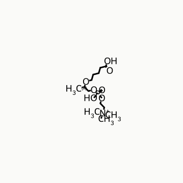 C[C@H](COP(=O)(O)OCC[N+](C)(C)C)OCCCCC(=O)O